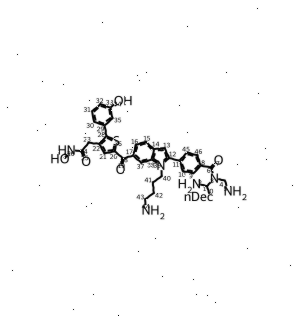 CCCCCCCCCCC(N)N(CN)C(=O)c1ccc(-c2cc3ccc(C(=O)c4cc(CC(=O)NO)c(-c5cccc(O)c5)s4)cc3n2CCCCN)cc1